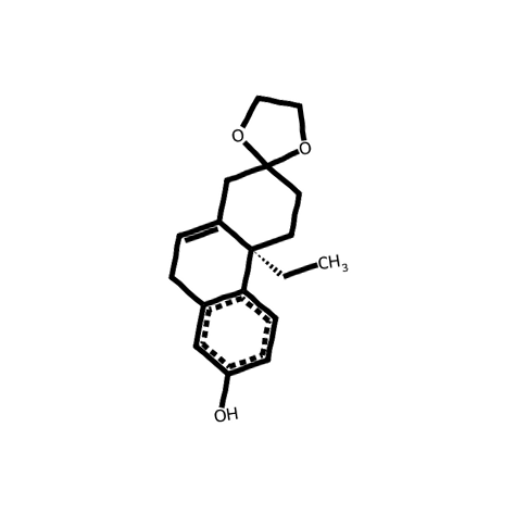 CC[C@@]12CCC3(CC1=CCc1cc(O)ccc12)OCCO3